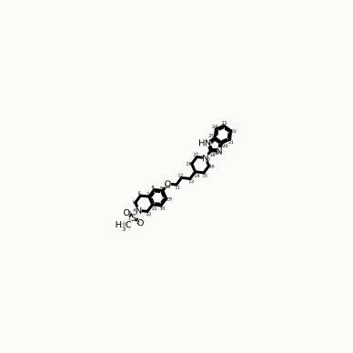 CS(=O)(=O)N1CCc2cc(OCCCC3CCN(c4nc5ccccc5[nH]4)CC3)ccc2C1